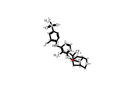 Cc1c(Nc2ccc(S(C)(=O)=O)cc2F)ncnc1OC1CC2COCC(C1)N2CC(C(F)(F)F)C(F)(F)F